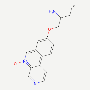 CC(C)CC(N)COc1ccc2c(c1)c[n+]([O-])c1cnccc21